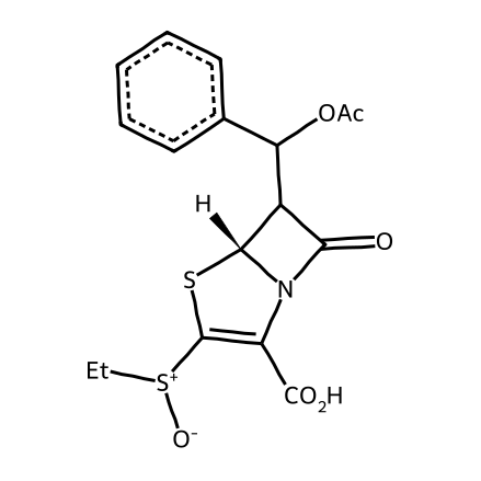 CC[S+]([O-])C1=C(C(=O)O)N2C(=O)C(C(OC(C)=O)c3ccccc3)[C@H]2S1